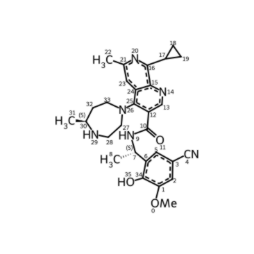 COc1cc(C#N)cc([C@H](C)NC(=O)c2cnc3c(C4CC4)nc(C)cc3c2N2CCN[C@@H](C)CC2)c1O